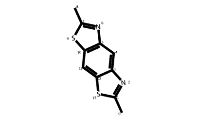 Cc1nc2cc3nc(C)sc3cc2s1